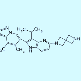 Cc1c(-c2[nH]c3ccc(N4CC5(CNC5)C4)nc3c2C(C)C)cn2ncnc2c1C